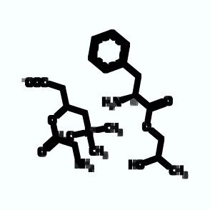 CC(O)COC(=O)[C@@H](N)Cc1ccccc1.C[N+](C)(C)CC(CC(=O)[O-])OC(=O)CN